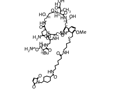 CC[C@H](C)[C@H](NOCN)C(=O)NCC(=O)N[C@H]1C[S+]([O-])c2[nH]c3c(CSCCCCNC(=O)CCCCCNC(=O)C4CCC(CN5C(=O)C=CC5=O)CC4)c(OC)ccc3c2C[C@@H](CO)NC(=O)[C@H]([C@@H](C)[C@@H](O)CO)NC(=O)C[C@@H](O)CNC(=O)[C@H](CC(N)=O)NC1=O